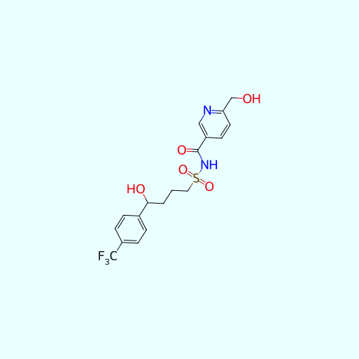 O=C(NS(=O)(=O)CCCC(O)c1ccc(C(F)(F)F)cc1)c1ccc(CO)nc1